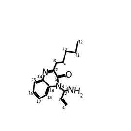 C=CC(N)n1c(=O)c(CCCCC)nc2ccccc21